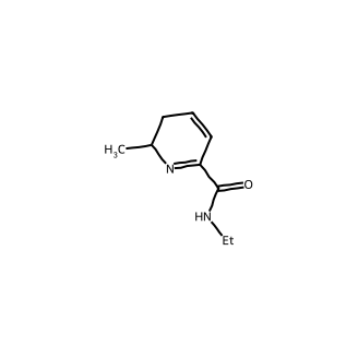 CCNC(=O)C1=NC(C)CC=C1